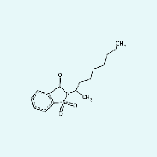 CCCCCCCC(C)N1C(=O)c2ccccc2S1(=O)=O